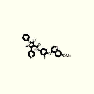 COc1ccc2c(Oc3ccc(NC(=O)c4c(-c5ccncc5)n(C)n(-c5ccccc5)c4=O)cc3F)ccnc2c1